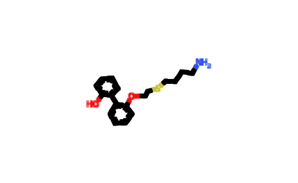 NCCCCSCCOc1ccccc1-c1ccccc1O